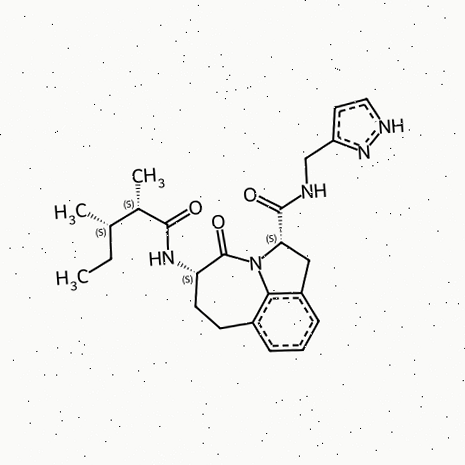 CC[C@H](C)[C@H](C)C(=O)N[C@H]1CCc2cccc3c2N(C1=O)[C@H](C(=O)NCc1cc[nH]n1)C3